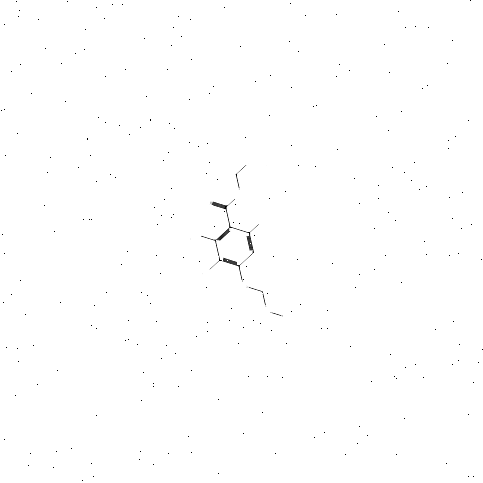 CCOC(=O)c1c(O)cc(OCOC)c(C)c1C